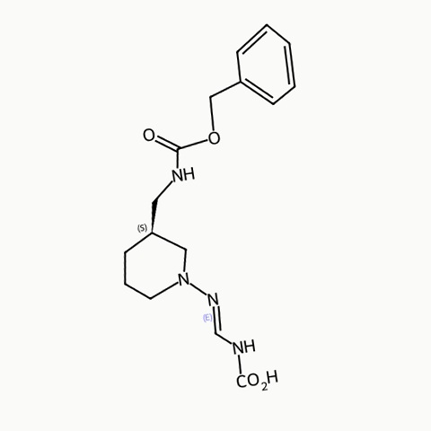 O=C(O)N/C=N/N1CCC[C@@H](CNC(=O)OCc2ccccc2)C1